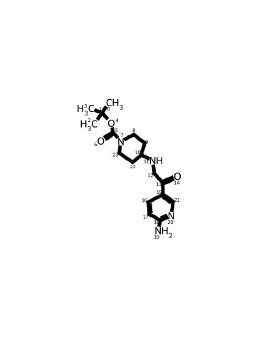 CC(C)(C)OC(=O)N1CCC(NCC(=O)c2ccc(N)nc2)CC1